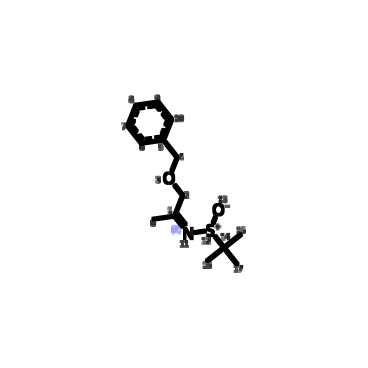 C/C(COCc1ccccc1)=N/[S+]([O-])C(C)(C)C